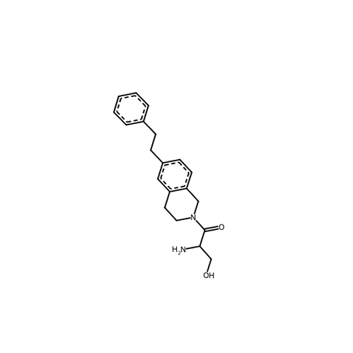 NC(CO)C(=O)N1CCc2cc(CCc3ccccc3)ccc2C1